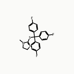 CN1CCN=C1SC(c1ccc(F)cc1)(c1ccc(F)cc1)c1ccc(F)cc1